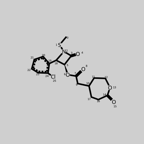 CSN1C(=O)[C@@H](OC(=O)CC2CCOC(=O)CC2)C1c1ccccc1Cl